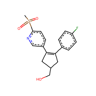 CS(=O)(=O)c1ccc(C2=C(c3ccc(F)cc3)CC(CO)C2)cn1